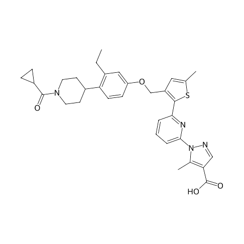 CCc1cc(OCc2cc(C)sc2-c2cccc(-n3ncc(C(=O)O)c3C)n2)ccc1C1CCN(C(=O)C2CC2)CC1